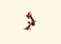 CCOP(=O)(Nc1ccc(N2CCN(c3cc(F)cc(-c4c(S(C)(=O)=O)c(C)n(C(C)C)c4-c4ccc(Cl)cc4)c3)CC2)cc1)c1ccc(N[C@H](CCN2CCC(COP(=O)(O)O)CC2)CSc2ccccc2)c([N+](=O)[O-])c1